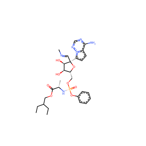 CCC(CC)COC(=O)[C@H](C)N[P@@](=O)(OC[C@H]1O[C@@](C=NC)(c2ccc3c(N)ncnn23)[C@H](O)[C@@H]1O)Oc1ccccc1